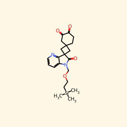 C[Si](C)(C)CCOCN1C(=O)C2(CC3(CCC(=O)C(=O)C3)C2)c2ncccc21